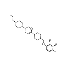 CCCC1CCC(C2CC=C(C3CCC(COc4ccc(C)c(F)c4F)CC3)OC2)CC1